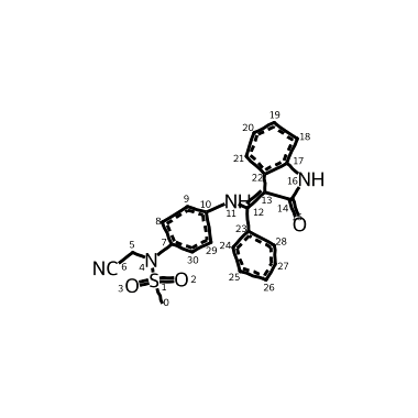 CS(=O)(=O)N(CC#N)c1ccc(NC(=C2C(=O)Nc3ccccc32)c2ccccc2)cc1